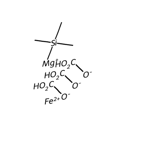 C[Si](C)(C)[Mg+].O=C([O-])O.O=C([O-])O.O=C([O-])O.[Fe+2]